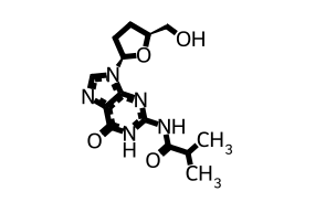 CC(C)C(=O)Nc1nc2c(ncn2[C@H]2CC[C@@H](CO)O2)c(=O)[nH]1